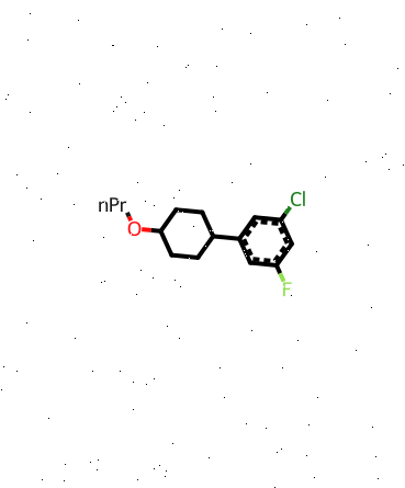 CCCOC1CCC(c2cc(F)cc(Cl)c2)CC1